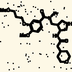 COCCCOc1cc(C(=O)N(CC2CNCC2NC(=O)CC2CCOCC2)C(C)C)ccc1OC